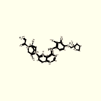 C=CC(=O)N1C[C@@H]2C[C@H]1CN2c1ccc2ncnc(Nc3ccc(OC[C@]4(C)CCCO4)c(Cl)c3F)c2n1